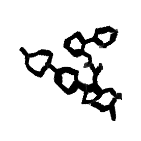 CC1CN2CN(c3ccc(N4CCN(C)CC4)cc3)C(C(=O)NCc3ccccc3-c3ccncn3)=C2CN1